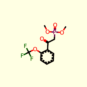 COP(=O)(CC(=O)c1ccccc1OC(F)(F)F)OC